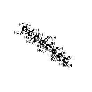 O=C(O)C1=C[C@H](O)[C@@H](O)[C@H](O[C@H]2[C@H](O)[C@@H](NS(=O)(=O)O)[C@@H](O[C@@H]3C(C(=O)O)OC(O[C@H]4[C@H](O)[C@@H](NS(=O)(=O)O)[C@@H](O[C@@H]5C(C(=O)O)OC(O[C@H]6[C@H](O)[C@@H](NS(=O)(=O)O)[C@@H](O[C@@H]7C(C(=O)O)OC(O[C@H]8[C@H](O)[C@@H](NS(=O)(=O)O)[C@@H](O)O[C@@H]8CO)[C@H](O)[C@H]7O)O[C@@H]6CO)[C@H](O)[C@H]5O)O[C@@H]4COS(=O)(=O)O)[C@H](O)[C@H]3O)O[C@@H]2CO)O1